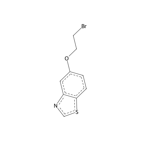 BrCCOc1ccc2scnc2c1